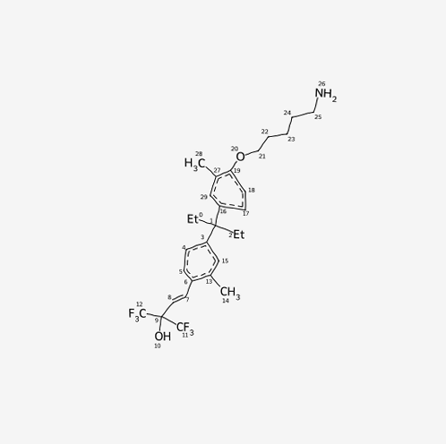 CCC(CC)(c1ccc(C=CC(O)(C(F)(F)F)C(F)(F)F)c(C)c1)c1ccc(OCCCCCN)c(C)c1